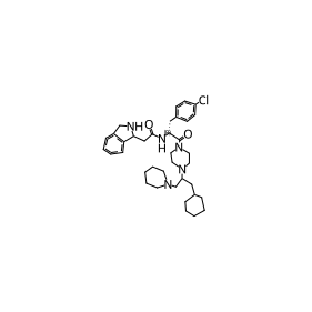 O=C(CC1NCc2ccccc21)N[C@H](Cc1ccc(Cl)cc1)C(=O)N1CCN(C(CC2CCCCC2)CN2CCCCC2)CC1